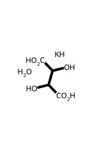 O.O=C(O)C(O)C(O)C(=O)O.[KH]